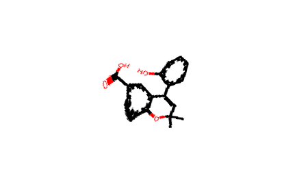 CC1(C)C=C(c2ccccc2O)c2cc(C(=O)O)ccc2O1